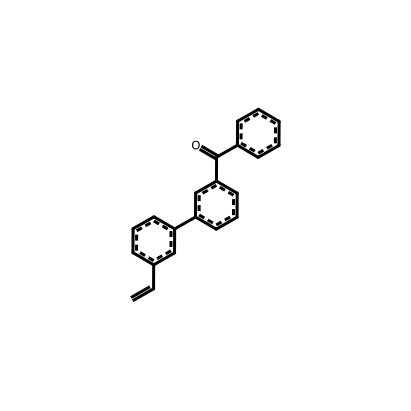 C=Cc1cccc(-c2cccc(C(=O)c3ccccc3)c2)c1